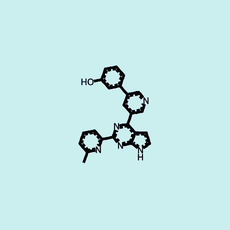 Cc1cccc(-c2nc(-c3cncc(-c4cccc(O)c4)c3)c3cc[nH]c3n2)n1